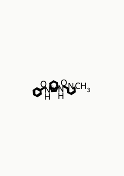 Cc1cccc(C(=O)N[C@@]23CCC[C@@](NC(=O)c4ccccc4)(CC2)C3)n1